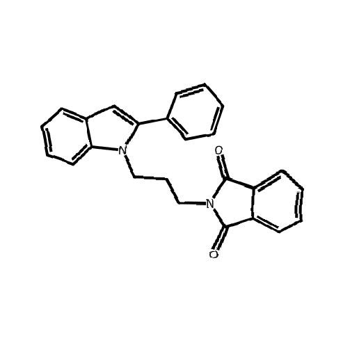 O=C1c2ccccc2C(=O)N1CCCn1c(-c2ccccc2)cc2ccccc21